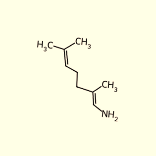 CC(C)=CCC/C(C)=C/N